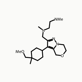 CNCCN(C)Cc1nn2c(c1C1CCC(C)(COC)CC1)COCC2